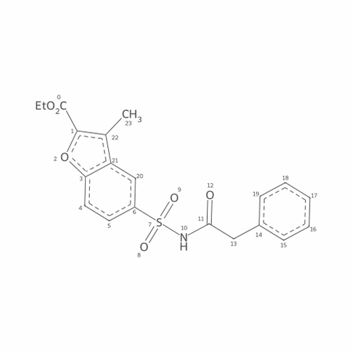 CCOC(=O)c1oc2ccc(S(=O)(=O)NC(=O)Cc3ccccc3)cc2c1C